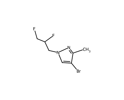 Cc1nn(CC(F)CF)cc1Br